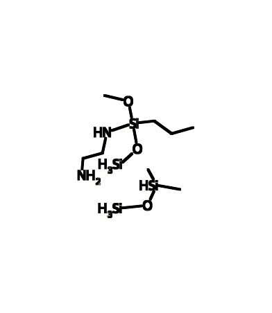 CCC[Si](NCCN)(OC)O[SiH3].C[SiH](C)O[SiH3]